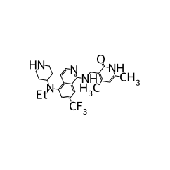 CCN(c1cc(C(F)(F)F)cc2c(NCc3c(C)cc(C)[nH]c3=O)nccc12)C1CCNCC1